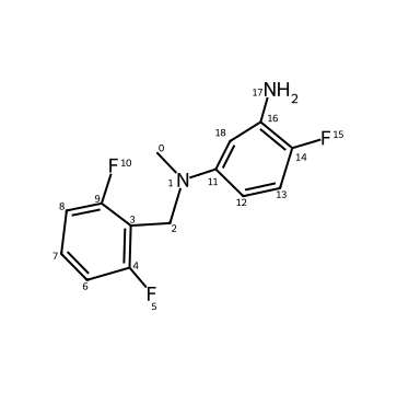 CN(Cc1c(F)cccc1F)c1ccc(F)c(N)c1